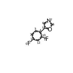 Fc1ccc(-c2cnco2)c(F)c1